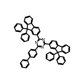 c1ccc(-c2ccc(-c3nc(-c4ccc5c(c4)C(c4ccccc4)(c4ccccc4)c4ccccc4-5)nc(-c4ccc5c(c4)C(c4ccccc4)(c4ccccc4)c4ccccc4-5)n3)cc2)cc1